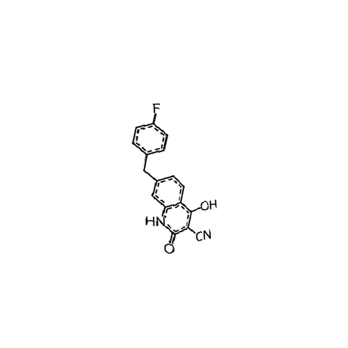 N#Cc1c(O)c2ccc(Cc3ccc(F)cc3)cc2[nH]c1=O